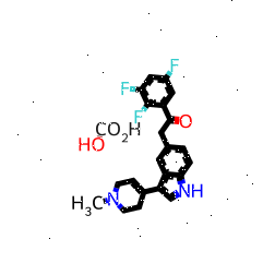 CN1CC=C(c2c[nH]c3ccc(CC(=O)c4cc(F)cc(F)c4F)cc23)CC1.O=C(O)O